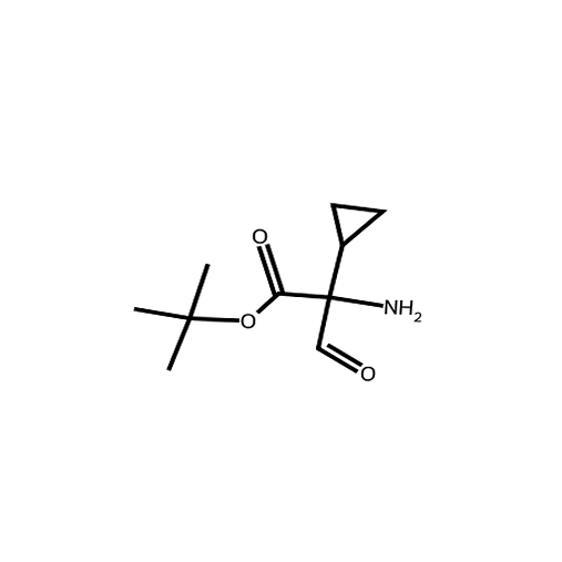 CC(C)(C)OC(=O)C(N)(C=O)C1CC1